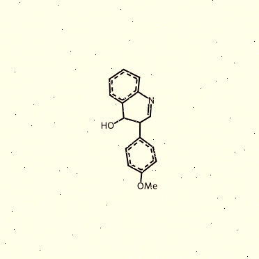 COc1ccc(C2C=Nc3ccccc3C2O)cc1